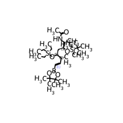 CC[Si](CC)(CC)O[C@@H](C[C@H](O[Si](C)(C)C(C)(C)C)[C@@H](C)NC(C)=O)[C@H](C)/C=C/B1OC(C)(C)C(C)(C)O1